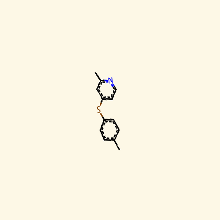 Cc1ccc(Sc2ccnc(C)c2)cc1